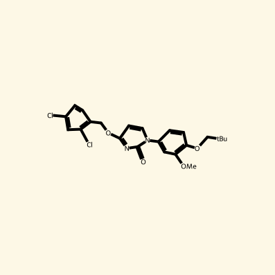 COc1cc(-n2ccc(OCc3ccc(Cl)cc3Cl)nc2=O)ccc1OCC(C)(C)C